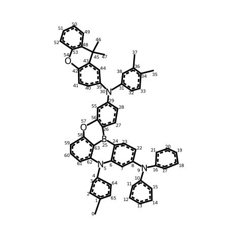 Cc1ccc(N2c3cc(N(c4ccccc4)c4ccccc4)ccc3B3c4ccc(N(c5ccc(C)c(C)c5)c5ccc6c(c5)C(C)(C)c5ccccc5O6)cc4Oc4cccc2c43)cc1